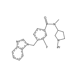 CC(C)N1CCC(N(C)C(=O)c2ccc(Cn3cnc4ccccc43)c(F)c2)C1